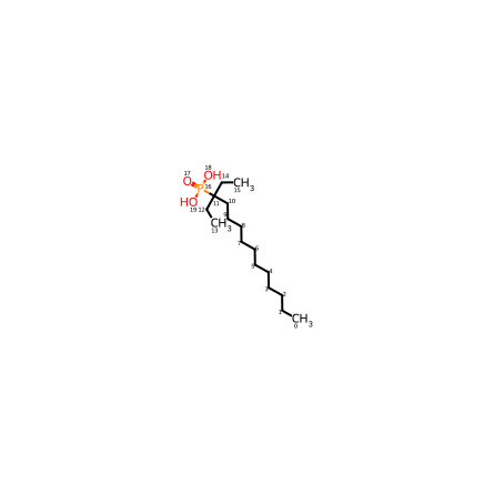 CCCCCCCCCCCC(CC)(CC)P(=O)(O)O